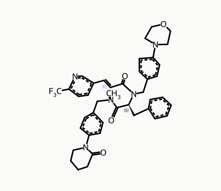 CN(Cc1ccc(N2CCCCC2=O)cc1)C(=O)[C@H](Cc1ccccc1)N(Cc1ccc(N2CCOCC2)cc1)C(=O)/C=C/c1ccc(C(F)(F)F)nc1